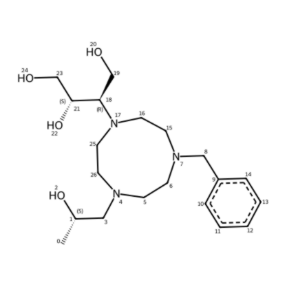 C[C@H](O)CN1CCN(Cc2ccccc2)CCN([C@H](CO)[C@H](O)CO)CC1